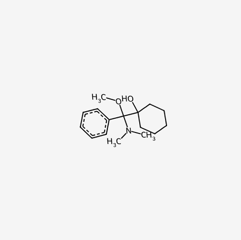 COC(c1ccccc1)(N(C)C)C1(O)CCCCC1